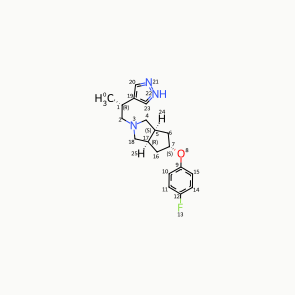 C[C@@H](CN1C[C@H]2C[C@H](Oc3ccc(F)cc3)C[C@H]2C1)c1cn[nH]c1